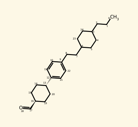 CCCC1CCC(CCc2ccc([C@H]3CC[C@H](C=O)CC3)cc2)CC1